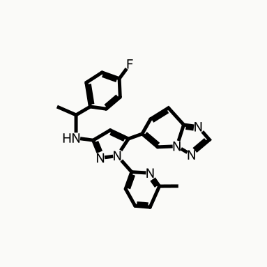 Cc1cccc(-n2nc(NC(C)c3ccc(F)cc3)cc2-c2ccc3ncnn3c2)n1